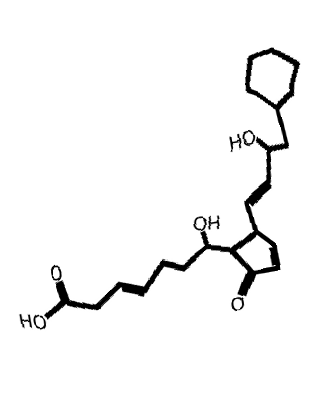 O=C(O)CC=CCCC(O)C1C(=O)C=CC1C=CC(O)CC1CCCCC1